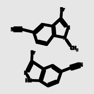 Cn1nc(Br)c2cc(C#N)ccc21.N#Cc1ccc2[nH]nc(Br)c2c1